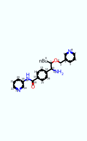 CCCCC(OCc1cccnc1)C(N)c1ccc(C(=O)Nc2cccnc2)cc1